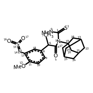 CNC(=S)N(C(=O)C(C)c1ccc(OC)c(N=S(=O)=O)c1)C12CC3CC(CC(C3)C1)C2